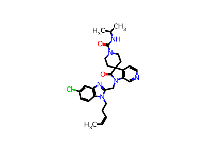 C/C=C\CCn1c(CN2C(=O)C3(CCN(C(=O)NC(C)C)CC3)c3ccncc32)nc2cc(Cl)ccc21